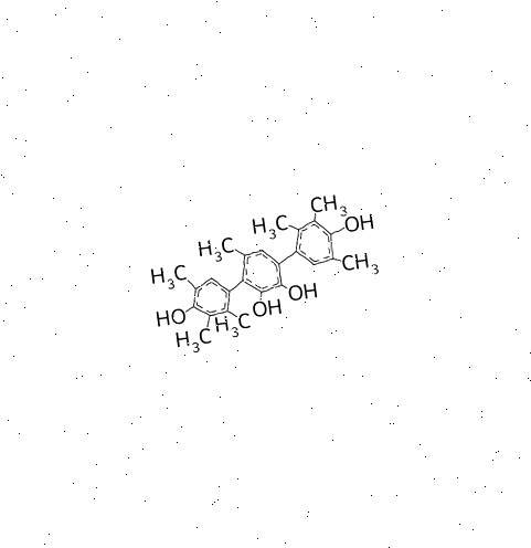 Cc1cc(-c2cc(C)c(-c3cc(C)c(O)c(C)c3C)c(O)c2O)c(C)c(C)c1O